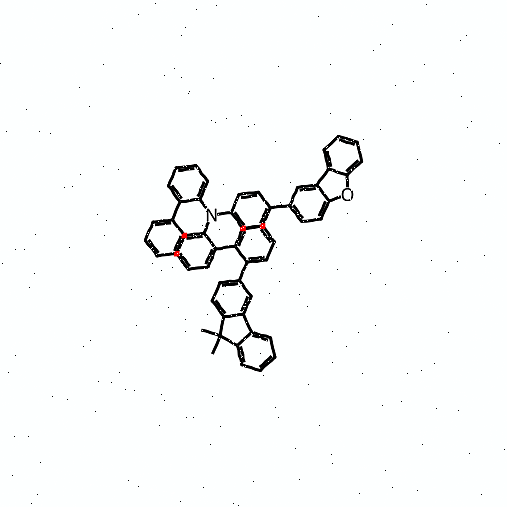 CC1(C)c2ccccc2-c2cc(-c3ccccc3-c3ccccc3N(c3ccc(-c4ccc5oc6ccccc6c5c4)cc3)c3ccccc3-c3ccccc3)ccc21